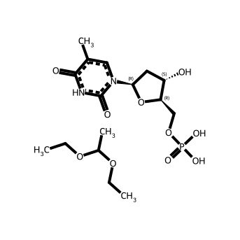 CCOC(C)OCC.Cc1cn([C@H]2C[C@H](O)[C@@H](COP(=O)(O)O)O2)c(=O)[nH]c1=O